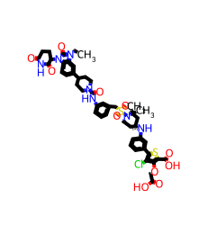 CCn1c(=O)n(C2CCC(=O)NC2=O)c2ccc(C3CCN(C(=O)Nc4cccc(CS(=O)(=O)N5CC[C@H](Nc6cccc(-c7sc(C(=O)O)c(OCC(=O)O)c7Cl)c6)CC5(C)C)c4)CC3)cc21